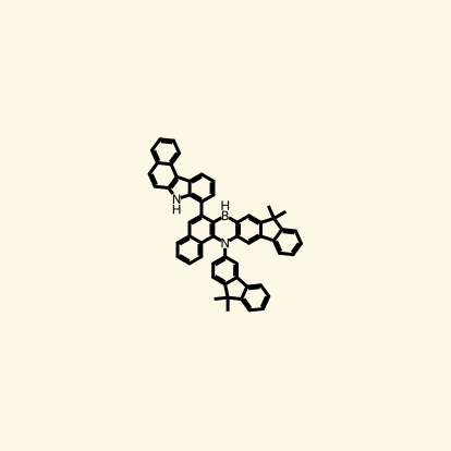 CC1(C)c2ccccc2-c2cc(N3c4cc5c(cc4Bc4c(-c6cccc7c6[nH]c6ccc8ccccc8c67)cc6ccccc6c43)C(C)(C)c3ccccc3-5)ccc21